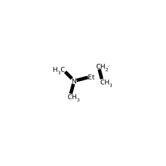 CCN(C)C.[CH2]C